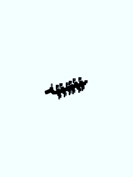 CC(I)CC(F)(F)C(F)(F)C(F)(F)C(F)(F)C(F)(F)C(F)(F)F